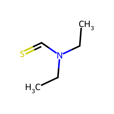 CCN(C=S)CC